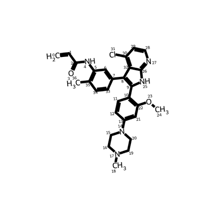 C=CC(=O)Nc1cc(-c2c(-c3ccc(N4CCN(C)CC4)cc3OC)[nH]c3nccc(Cl)c23)ccc1C